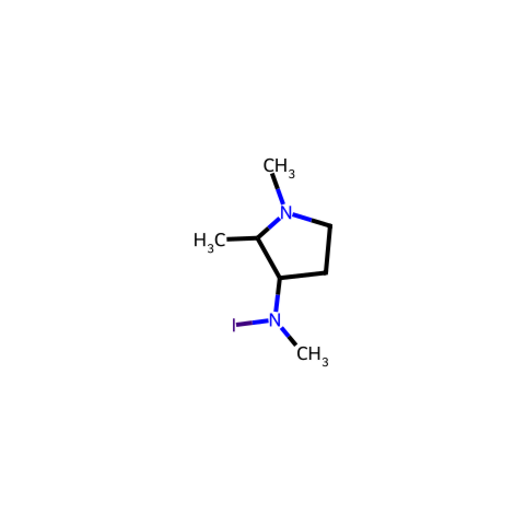 CC1C(N(C)I)CCN1C